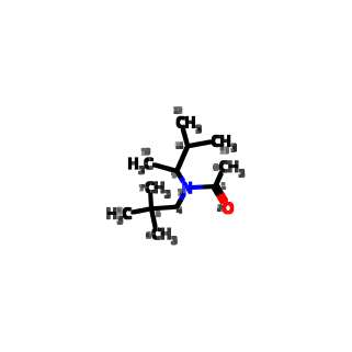 CC(=O)N(CC(C)(C)C)C(C)C(C)C